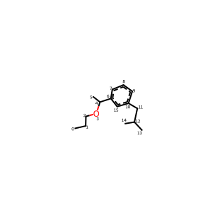 CCCOC(C)c1cccc(CC(C)C)c1